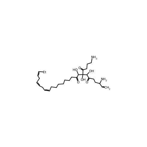 C=CC(N)CCC(=O)C(O)C(O)(C(=O)CCCN)C(O)C(=O)CCCCCCC/C=C\C/C=C\C/C=C\CC